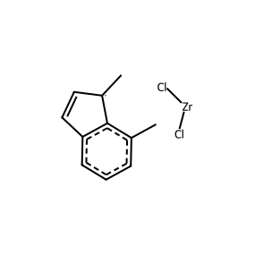 C[C]1C=Cc2cccc(C)c21.[Cl][Zr][Cl]